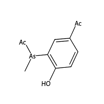 CC(=O)c1ccc(O)c([As](C)C(C)=O)c1